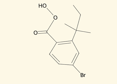 CCC(C)(C)c1cc(Br)ccc1C(=O)OO